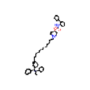 CC/C(=C(\c1ccccc1)c1ccc(CCCCCCCCCCCCN2CCC(OC(=O)Nc3ccccc3-c3ccccc3)CC2)cc1)c1ccccc1